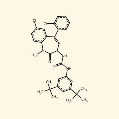 CN1C(=O)C(NC(=S)Nc2cc(C(C)(C)C)cc(C(C)(C)C)c2)N=C(c2ccccc2Cl)c2cc(Cl)ccc21